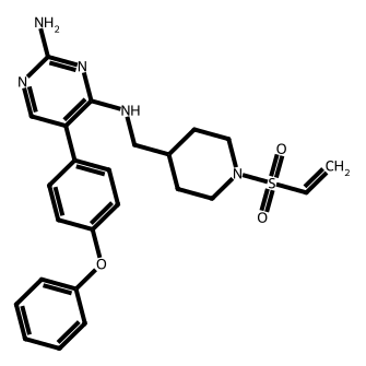 C=CS(=O)(=O)N1CCC(CNc2nc(N)ncc2-c2ccc(Oc3ccccc3)cc2)CC1